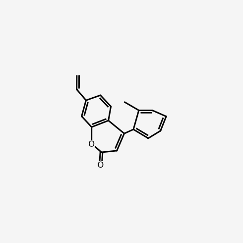 C=Cc1ccc2c(-c3ccccc3C)cc(=O)oc2c1